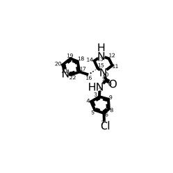 O=C(Nc1ccc(Cl)cc1)N1CCNC[C@H]1Cc1cccnc1